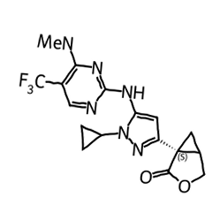 CNc1nc(Nc2cc([C@]34CC3COC4=O)nn2C2CC2)ncc1C(F)(F)F